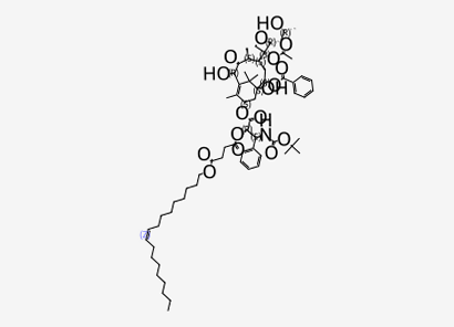 CCCCCCCC/C=C\CCCCCCCCOC(=O)CCC(=O)O[C@@H](C(=O)O[C@H]1C[C@@]2(O)[C@@H](OC(=O)c3ccccc3)C[C@H]([C@]3(OC(C)=O)CO[C@@H]3C[C@@H](C)O)[C@H](C)C(=O)[C@H](O)C(=C1C)C2(C)C)[C@@H](NC(=O)OC(C)(C)C)c1ccccc1